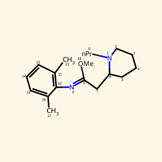 CCCN1CCCCC1C/C(=N/c1c(C)cccc1C)OC